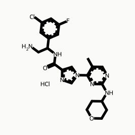 Cc1cnc(NC2CCOCC2)nc1-n1cnc(C(=O)NC(CN)c2cc(F)cc(Cl)c2)c1.Cl